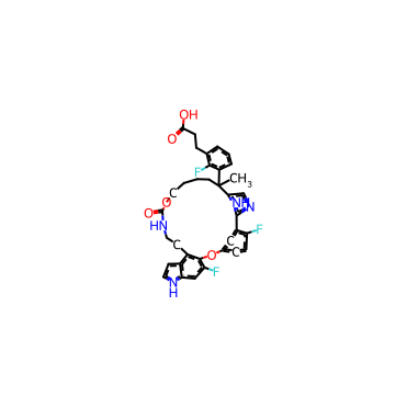 CC1(c2cccc(CCC(=O)O)c2F)CCCCOC(=O)NCCc2c(c(F)cc3[nH]ccc23)Oc2ccc(F)c(c2)-c2ncc1[nH]2